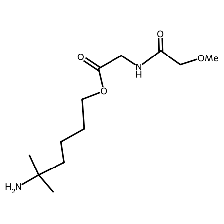 COCC(=O)NCC(=O)OCCCCC(C)(C)N